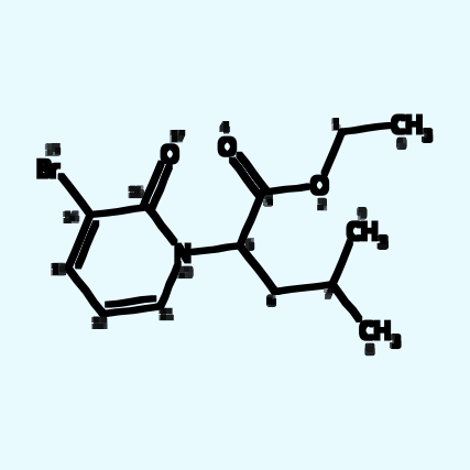 CCOC(=O)C(CC(C)C)n1cccc(Br)c1=O